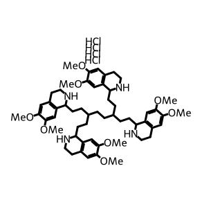 COc1cc2c(cc1OC)C(CCC(CCC(CCC1NCCc3cc(OC)c(OC)cc31)CCC1NCCc3cc(OC)c(OC)cc31)CCC1NCCc3cc(OC)c(OC)cc31)NCC2.Cl.Cl.Cl.Cl